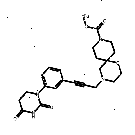 CC(C)(C)OC(=O)N1CCC2(CC1)CN(CC#Cc1cccc(N3CCC(=O)NC3=O)c1)CCO2